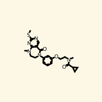 CSc1ncc2c(n1)N(C)CCN(c1cccc(OCCN(C)C(=O)C3CC3)c1)C2=O